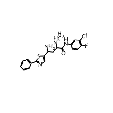 CNC(CC(N)c1cnc(-c2ccccc2)s1)C(=O)Nc1ccc(F)c(Cl)c1